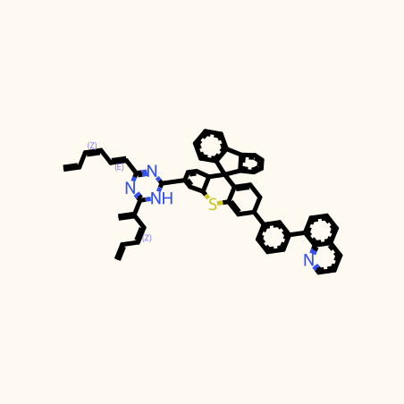 C=C/C=C\C=C\C1=NC(C2=CC3SC4=CC(c5cccc(-c6cccc7cccnc67)c5)CC=C4C4(c5ccccc5-c5ccccc54)C3C=C2)NC(C(=C)/C=C\C=C)=N1